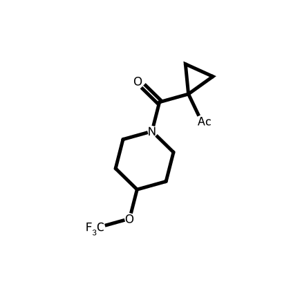 CC(=O)C1(C(=O)N2CCC(OC(F)(F)F)CC2)CC1